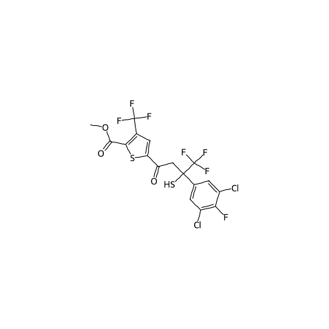 COC(=O)c1sc(C(=O)CC(S)(c2cc(Cl)c(F)c(Cl)c2)C(F)(F)F)cc1C(F)(F)F